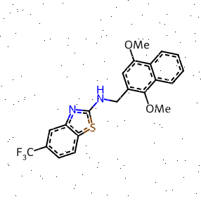 COc1cc(CNc2nc3cc(C(F)(F)F)ccc3s2)c(OC)c2ccccc12